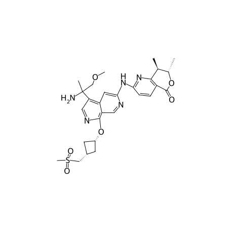 COCC(C)(N)c1cnc(O[C@H]2C[C@@H](CS(C)(=O)=O)C2)c2cnc(Nc3ccc4c(n3)[C@@H](C)[C@H](C)OC4=O)cc12